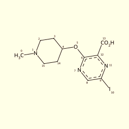 CN1CCC(Oc2ncc(I)nc2C(=O)O)CC1